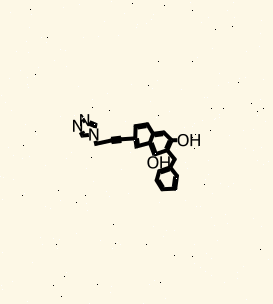 Oc1cc2ccc(C#CCn3cnnc3)cc2c(O)c1Cc1ccccc1